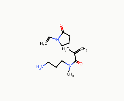 C=C(C)C(=O)N(C)CCCN.C=CN1CCCC1=O